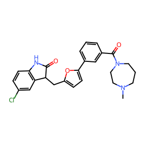 CN1CCCN(C(=O)c2cccc(-c3ccc(CC4C(=O)Nc5ccc(Cl)cc54)o3)c2)CC1